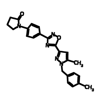 Cc1ccc(Cn2nc(-c3nc(-c4ccc(N5CCCC5=O)cc4)no3)cc2C)cc1